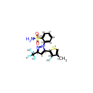 Cc1csc(-c2cc(C(F)(F)F)nn2-c2ccccc2S(N)(=O)=O)c1F